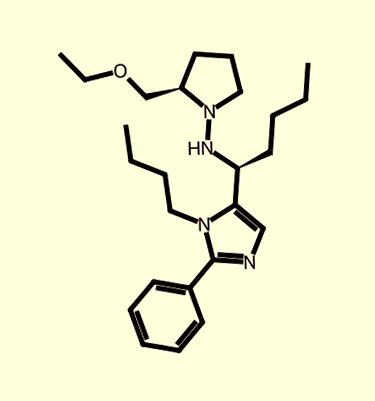 CCCC[C@H](NN1CCC[C@@H]1COCC)c1cnc(-c2ccccc2)n1CCCC